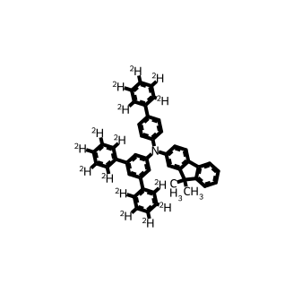 [2H]c1c([2H])c([2H])c(-c2ccc(N(c3cc(-c4c([2H])c([2H])c([2H])c([2H])c4[2H])cc(-c4c([2H])c([2H])c([2H])c([2H])c4[2H])c3)c3ccc4c(c3)C(C)(C)c3ccccc3-4)cc2)c([2H])c1[2H]